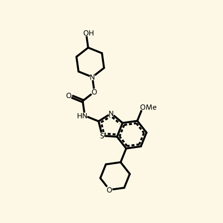 COc1ccc(C2CCOCC2)c2sc(NC(=O)ON3CCC(O)CC3)nc12